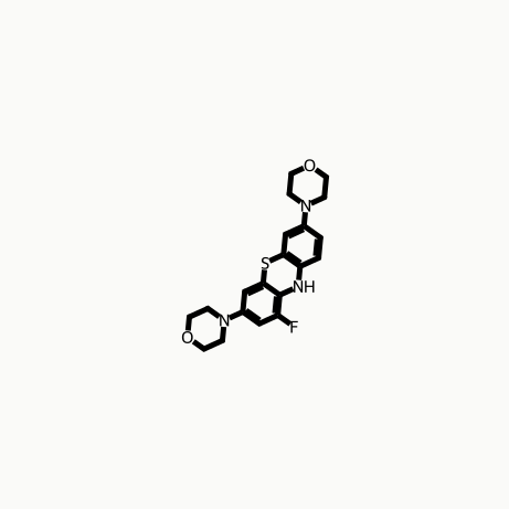 Fc1cc(N2CCOCC2)cc2c1Nc1ccc(N3CCOCC3)cc1S2